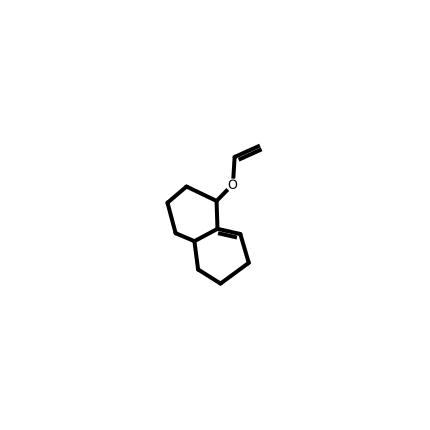 C=COC1CCCC2CCCC=C21